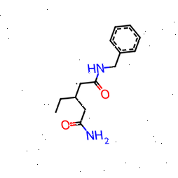 CCC([CH]C(=O)NCc1ccccc1)CC(N)=O